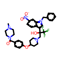 CN1CCN(C(=O)c2ccc(OC3CCN(CC(O)(c4cn(Cc5ccccc5)c5cc([N+](=O)[O-])ccc45)C(F)(F)F)CC3)cc2)CC1